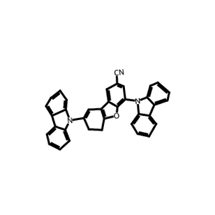 N#Cc1cc(-n2c3ccccc3c3ccccc32)c2oc3c(c2c1)C=C(n1c2ccccc2c2ccccc21)CC3